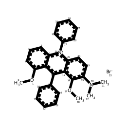 COc1cccc2c1c(-c1ccccc1)c1c(OC)c(N(C)C)ccc1[n+]2-c1ccccc1.[Br-]